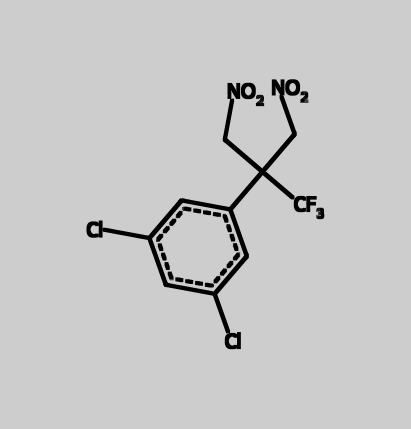 O=[N+]([O-])CC(C[N+](=O)[O-])(c1cc(Cl)cc(Cl)c1)C(F)(F)F